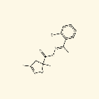 CC1=NOC(C)(C(=O)O/N=C(\C)c2ccccc2Cl)C1